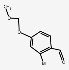 COCOc1ccc(C=O)c(Br)c1